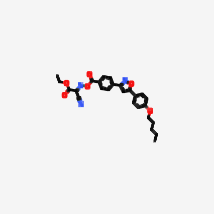 CCCCCOc1ccc(-c2cc(-c3ccc(C(=O)O/N=C(\C#N)C(=O)OCC)cc3)no2)cc1